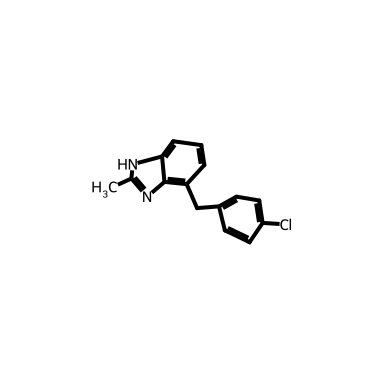 Cc1nc2c(Cc3ccc(Cl)cc3)cccc2[nH]1